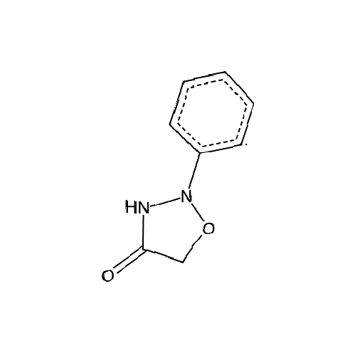 O=C1CON(c2[c]cccc2)N1